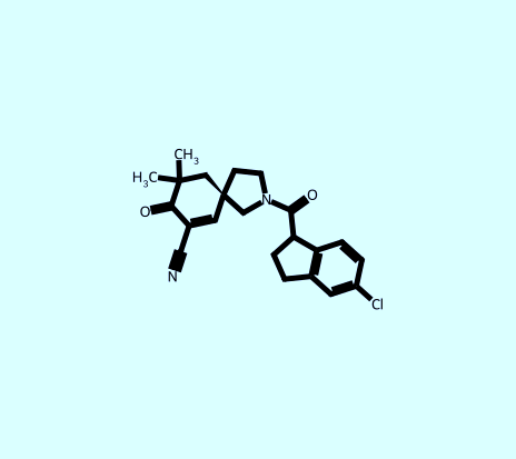 CC1(C)C[C@@]2(C=C(C#N)C1=O)CCN(C(=O)C1CCc3cc(Cl)ccc31)C2